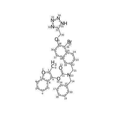 Cc1oc2ccccc2c1OC(=O)N(Cc1ccccc1)Cc1ccc2c(Br)c(OCc3nnn[nH]3)ccc2c1